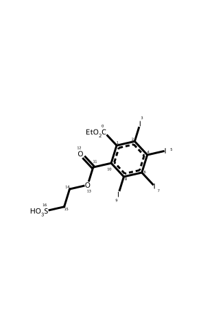 CCOC(=O)c1c(I)c(I)c(I)c(I)c1C(=O)OCCS(=O)(=O)O